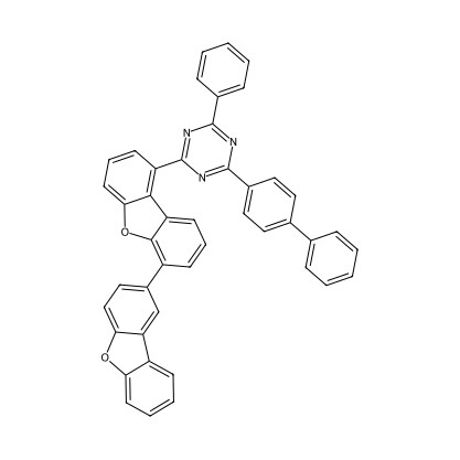 c1ccc(-c2ccc(-c3nc(-c4ccccc4)nc(-c4cccc5oc6c(-c7ccc8oc9ccccc9c8c7)cccc6c45)n3)cc2)cc1